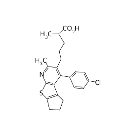 Cc1nc2sc3c(c2c(-c2ccc(Cl)cc2)c1CCCC(C)C(=O)O)CCC3